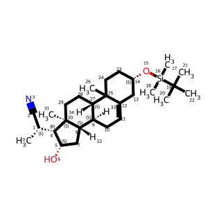 C[C@H](C#N)[C@H]1[C@@H](O)C[C@H]2[C@@H]3CC=C4C[C@@H](O[Si](C)(C)C(C)(C)C)CCC4(C)[C@H]3CC[C@]12C